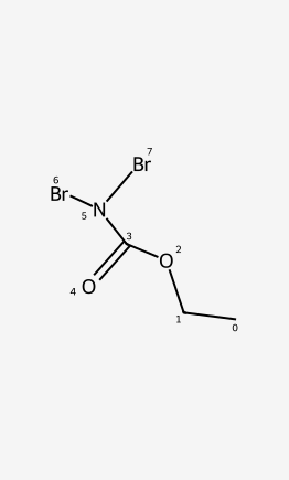 CCOC(=O)N(Br)Br